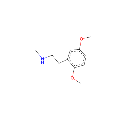 CNCCc1cc(OC)ccc1OC